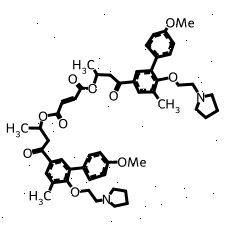 COc1ccc(-c2cc(C(=O)CC(C)OC(=O)/C=C/C(=O)OC(C)CC(=O)c3cc(C)c(OCCN4CCCC4)c(-c4ccc(OC)cc4)c3)cc(C)c2OCCN2CCCC2)cc1